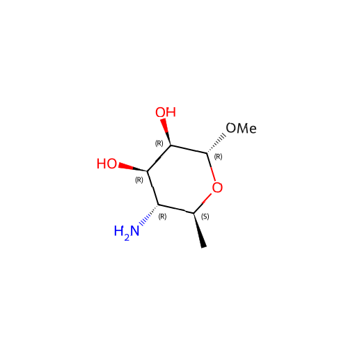 CO[C@@H]1O[C@@H](C)[C@H](N)[C@@H](O)[C@H]1O